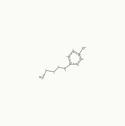 CCCCSc1ccc(Cl)cc1